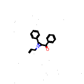 C=CCN1C(C(=O)c2ccccc2)C1c1ccccc1